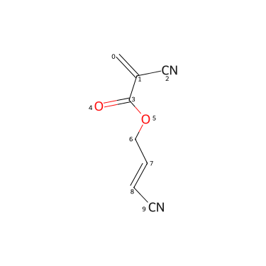 C=C(C#N)C(=O)OCC=CC#N